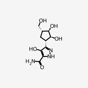 NC(=O)c1[nH]nc([C@@H]2C[C@H](CO)[C@@H](O)[C@H]2O)c1O